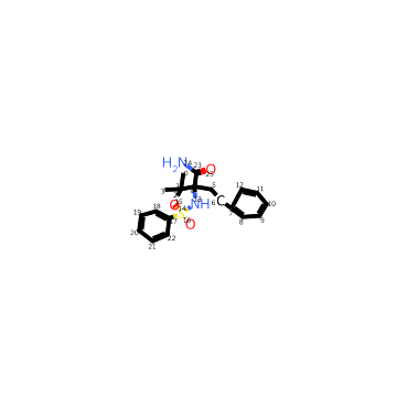 CC(C)(C)C(CCc1ccccc1)(NS(=O)(=O)c1ccccc1)C(N)=O